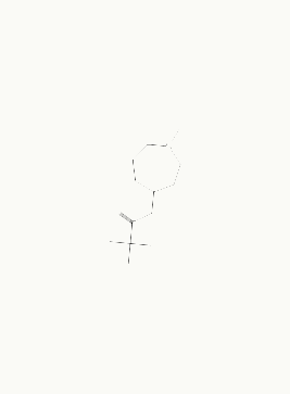 CN1CCCC(CC(=O)C(C)(C)C)CC1